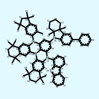 Cc1cc2c(cc1N1c3cc4c(cc3B3c5cc6c(cc5N(c5cccc7c5sc5ccccc57)c5cc(N7c8ccc(-c9ccccc9)cc8C8(C)CCCCC78C)cc1c53)C(C)(C)CCC6(C)C)C(C)(C)CCC4(C)C)C(C)(C)CC2(C)C